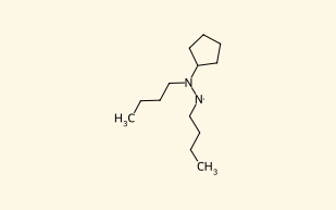 CCCC[N]N(CCCC)C1CCCC1